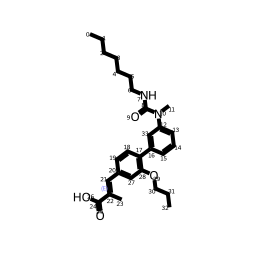 CCCCCCCNC(=O)N(C)c1cccc(-c2ccc(/C=C(\C)C(=O)O)cc2OCCC)c1